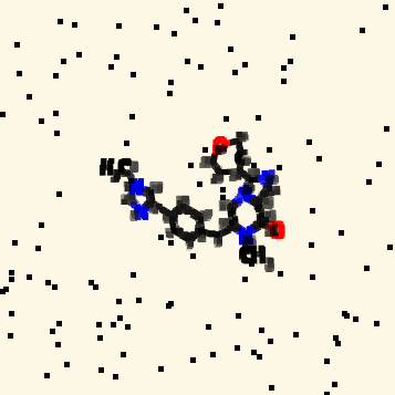 Cn1cnc(-c2ccc(Cc3cn4c(C5CCOCC5)ncc4c(=O)n3C)cc2)c1